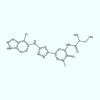 Cn1cc(-c2nnc(Nc3ccc4[nH]ncc4c3Cl)s2)cc(NC(=O)C(O)CO)c1=O